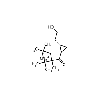 CC(C)(C)CC(C)(C(=O)C1C[C@H]1CCO)C(C)(C)C